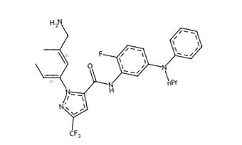 C/C=C(\C=C(/C)CN)n1nc(C(F)(F)F)cc1C(=O)Nc1cc(N(CCC)c2ccccc2)ccc1F